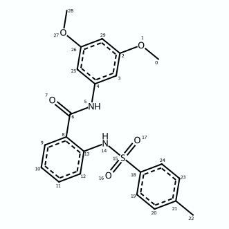 COc1cc(NC(=O)c2ccccc2NS(=O)(=O)c2ccc(C)cc2)cc(OC)c1